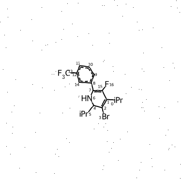 CC(C)C1=C(Br)C(C(C)C)NC(c2cccc(C(F)(F)F)c2)=C1F